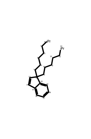 CC(C)CCCCCC1(CCCCCC(C)C)C=Cc2ccccc21